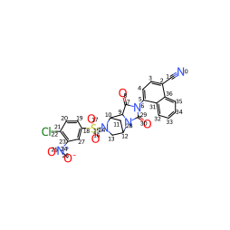 N#Cc1ccc(N2C(=O)C3C4CC(CN4S(=O)(=O)c4ccc(Cl)c([N+](=O)[O-])c4)N3C2=O)c2ccccc12